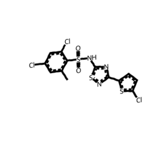 Cc1cc(Cl)cc(Cl)c1S(=O)(=O)Nc1nc(-c2ccc(Cl)s2)ns1